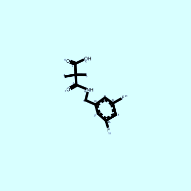 CC(C)(C(=O)O)C(=O)NCc1cc(F)cc(F)c1